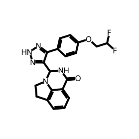 O=C1NC(c2n[nH]nc2-c2ccc(OCC(F)F)cc2)N2CCc3cccc1c32